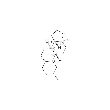 CC1=CCC2CC[C@H]3[C@@H]4CCC[C@@]4(C)CC[C@@H]3[C@@]2(C)C1